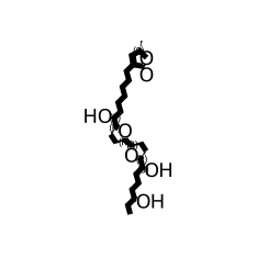 CCC(O)CCC[C@H](O)[C@H]1CC[C@H]([C@H]2CC[C@H]([C@H](O)CCCCCCC3=C[C@H](C)OC3=O)O2)O1